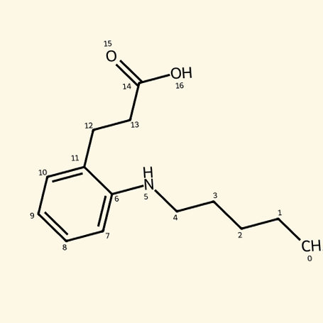 CCCCCNc1ccccc1CCC(=O)O